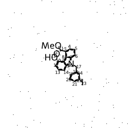 COC(=O)c1cccc2c1c1c(O)cccc1n2Cc1cccc(I)c1